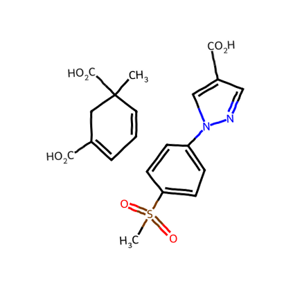 CC1(C(=O)O)C=CC=C(C(=O)O)C1.CS(=O)(=O)c1ccc(-n2cc(C(=O)O)cn2)cc1